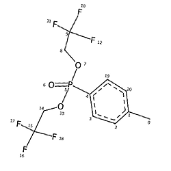 Cc1ccc(P(=O)(OCC(F)(F)F)OCC(F)(F)F)cc1